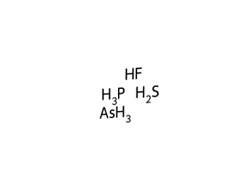 F.P.S.[AsH3]